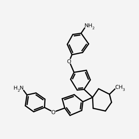 CC1CCCC(c2ccc(Oc3ccc(N)cc3)cc2)(c2ccc(Oc3ccc(N)cc3)cc2)C1